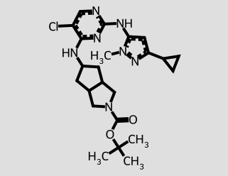 Cn1nc(C2CC2)cc1Nc1ncc(Cl)c(NC2CC3CN(C(=O)OC(C)(C)C)CC3C2)n1